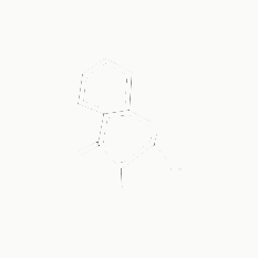 O=c1c(O)c(O)oc2ccccc12